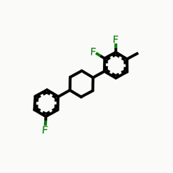 Cc1ccc(C2CCC(c3cccc(F)c3)CC2)c(F)c1F